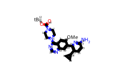 COc1cc2c(N3CCN(C(=O)OC(C)(C)C)CC3)ncnc2cc1-c1nc(N)ccc1C1CC1